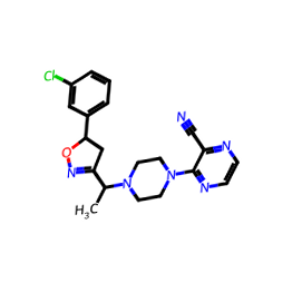 CC(C1=NOC(c2cccc(Cl)c2)C1)N1CCN(c2nccnc2C#N)CC1